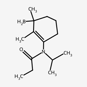 BC1(C)CCCC(N(C(=O)CC)C(C)C)=C1C